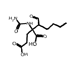 CCCCC(C=O)C(CCC(=O)O)(NC(N)=O)C(=O)O